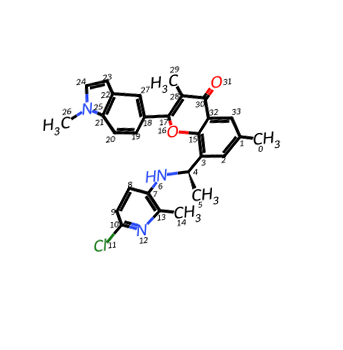 Cc1cc([C@@H](C)Nc2ccc(Cl)nc2C)c2oc(-c3ccc4c(ccn4C)c3)c(C)c(=O)c2c1